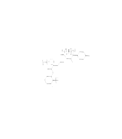 CC1CCC(C(O)C(C)[C@H](CCC[C@@H](O)C(C)CC2CCC[C@H](C)C2F)C(C)O)CC1